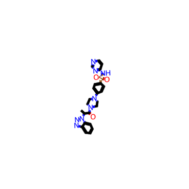 CC(C(=O)N1CCN(c2ccc(S(=O)(=O)Nc3ccncn3)cc2)CC1)n1nnc2ccccc21